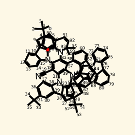 CC(C)(C)c1ccc2c(c1)c1ccccc1n2-c1c(C#N)c(-n2c3ccccc3c3cc(C(C)(C)C)ccc32)c(-n2c3ccccc3c3cc(C(C)(C)C)ccc32)c(-c2cccc3c2-c2ccccc2[Si]32c3ccccc3-c3ccccc32)c1N1c2ccccc2C=CC1(C)C